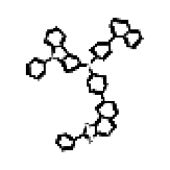 c1ccc(-c2nc3ccc4ccc(-c5ccc(N(c6ccc(-c7cccc8ccccc78)cc6)c6ccc7c(c6)c6ccccc6n7-c6ccccc6)cc5)cc4c3o2)cc1